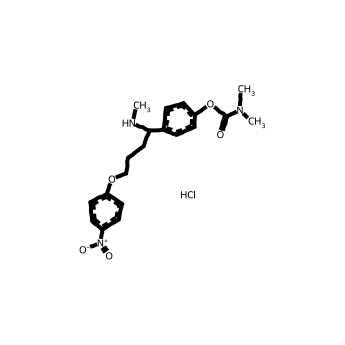 CNC(CCCOc1ccc([N+](=O)[O-])cc1)c1ccc(OC(=O)N(C)C)cc1.Cl